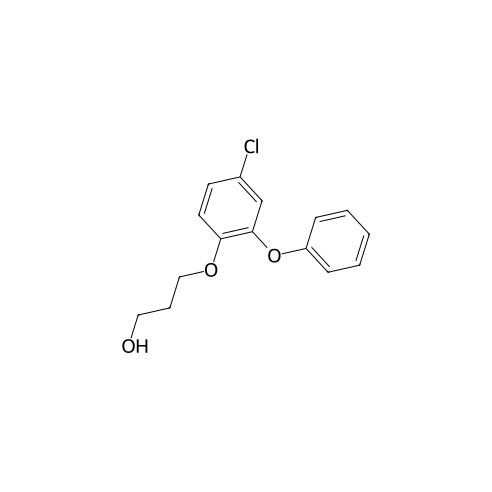 OCCCOc1ccc(Cl)cc1Oc1ccccc1